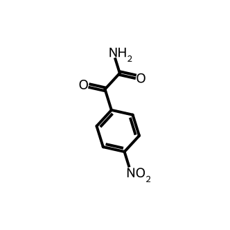 NC(=O)C(=O)c1ccc([N+](=O)[O-])cc1